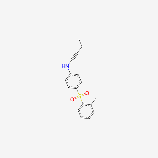 CCC#CNc1ccc(S(=O)(=O)c2ccccc2C)cc1